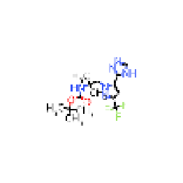 CC(C)(Cn1nc(C(F)(F)F)cc1-c1nnc[nH]1)NC(=O)OC(C)(C)C